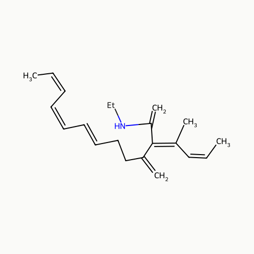 C=C(CC/C=C/C=C\C=C/C)/C(C(=C)NCC)=C(C)\C=C/C